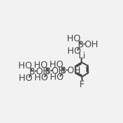 OB(O)O.OB(O)O.OB(O)O.OB(O)O.[Li][c]1ccc(F)cc1